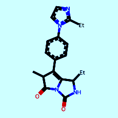 CCc1nccn1-c1ccc(C2=C3C(CC)NC(=O)N3C(=O)C2C)cc1